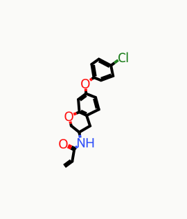 C=CC(=O)NC1COc2cc(Oc3ccc(Cl)cc3)ccc2C1